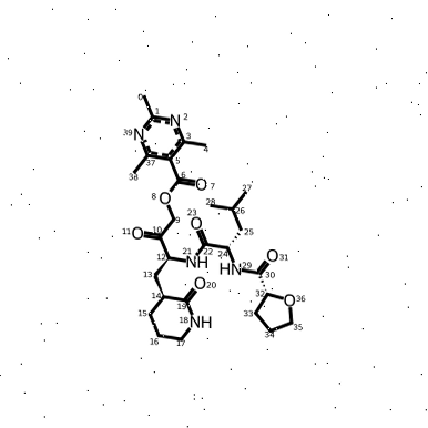 Cc1nc(C)c(C(=O)OCC(=O)[C@H](C[C@@H]2CCCNC2=O)NC(=O)[C@H](CC(C)C)NC(=O)[C@H]2CCCO2)c(C)n1